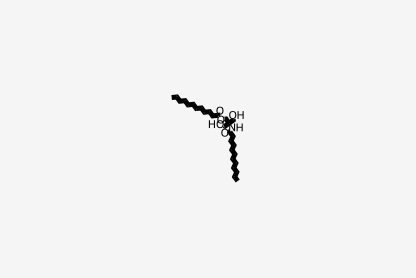 CCCCCCCCCCCC(=O)NC(CO)(CO)COC(=O)CCCCCCCCCCC